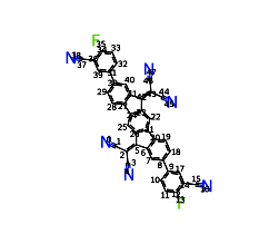 N#CC(C#N)=C1c2cc(-c3ccc(F)c(C#N)c3)ccc2-c2cc3c(cc21)-c1ccc(-c2ccc(F)c(C#N)c2)cc1C3=C(C#N)C#N